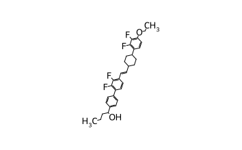 CCCC(O)c1ccc(-c2ccc(/C=C/C3CCC(c4ccc(OCC)c(F)c4F)CC3)c(F)c2F)cc1